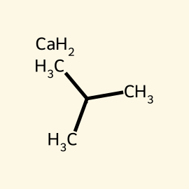 C[C](C)C.[CaH2]